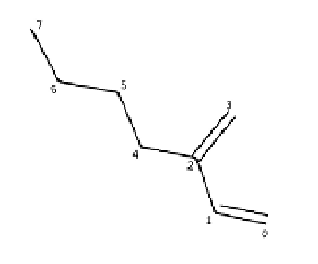 C=CC(=C)CCCC